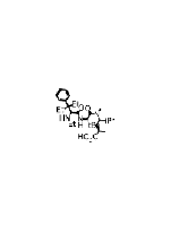 CCN[C@H](C(=O)N[C@H](C(=O)N(C)[C@H](/C=C(\C)C(=O)O)C(C)C)C(C)(C)C)C(CC)(CC)c1ccccc1